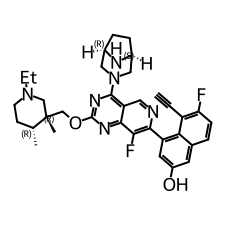 C#Cc1c(F)ccc2cc(O)cc(-c3ncc4c(N5C[C@H]6CC[C@@H](C5)N6)nc(OC[C@@]5(C)CN(CC)CC[C@H]5C)nc4c3F)c12